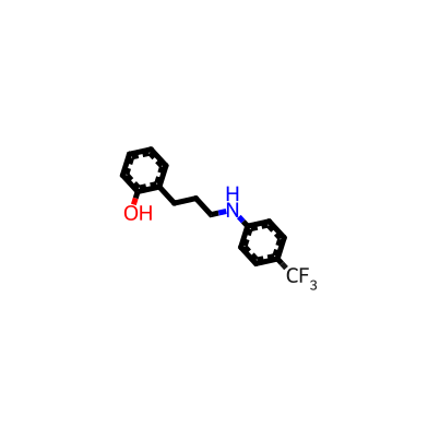 Oc1ccccc1CCCNc1ccc(C(F)(F)F)cc1